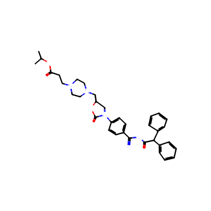 CC(C)OC(=O)CCN1CCN(CC2CN(c3ccc(C(=N)NC(=O)C(c4ccccc4)c4ccccc4)cc3)C(=O)O2)CC1